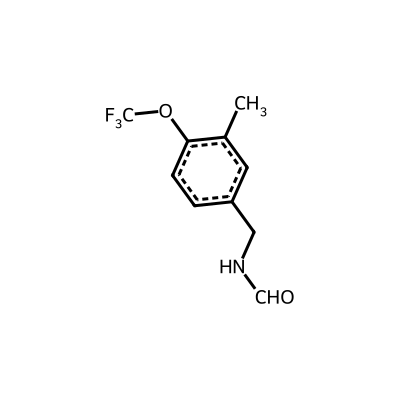 Cc1cc(CNC=O)ccc1OC(F)(F)F